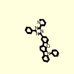 c1ccc(-c2nc(-c3ccc4oc5c(ccc6c7ccccc7n(-c7ccccc7)c65)c4c3)nc(-c3ccccn3)n2)cc1